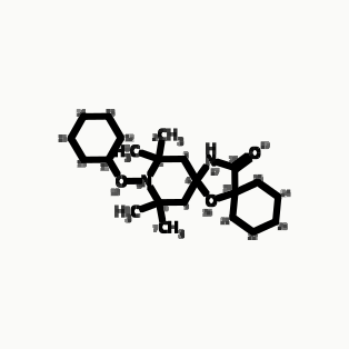 CC1(C)CC2(CC(C)(C)N1OC1CCCCC1)NC(=O)C1(CCCCC1)O2